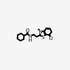 CN1C2=C(SC1CCNC(=O)C1CCCCC1)C(=O)CC=C2